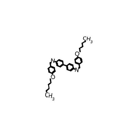 CCCCCCOc1ccc(/C=N\c2ccc(-c3ccc(/N=C\c4ccc(OCCCCCC)cc4)cc3)cc2)cc1